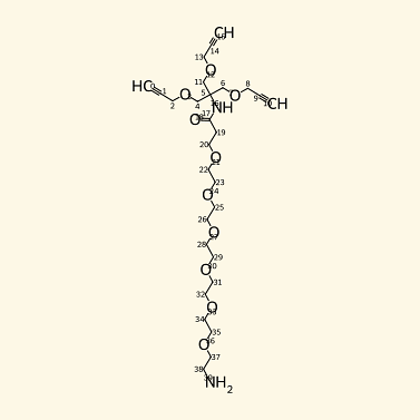 C#CCOCC(COCC#C)(COCC#C)NC(=O)CCOCCOCCOCCOCCOCCOCCN